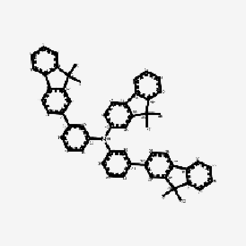 CC1(C)c2ccccc2-c2ccc(-c3cccc(N(c4cccc(-c5ccc6c(c5)C(C)(C)c5ccccc5-6)c4)c4ccc5c(c4)C(C)(C)c4ccccc4-5)c3)cc21